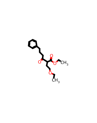 CCOCCC(C(=O)CCCc1ccccc1)C(=O)OCC